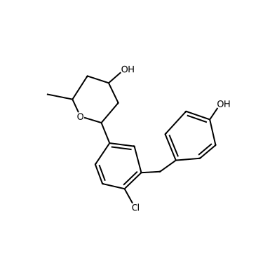 CC1CC(O)CC(c2ccc(Cl)c(Cc3ccc(O)cc3)c2)O1